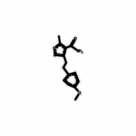 COc1ccc(CCc2noc(C)c2C(N)=O)cc1